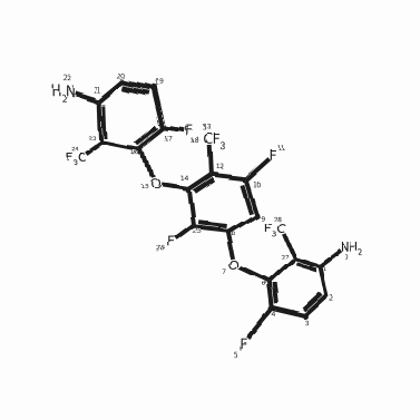 Nc1ccc(F)c(Oc2cc(F)c(C(F)(F)F)c(Oc3c(F)ccc(N)c3C(F)(F)F)c2F)c1C(F)(F)F